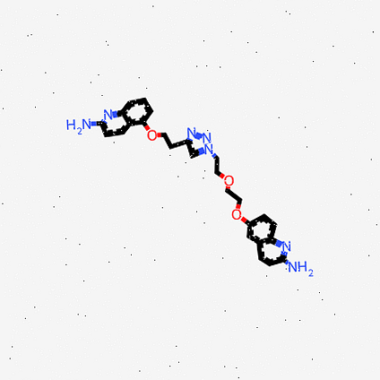 Nc1ccc2cc(OCCOCCn3cc(CCOc4cccc5nc(N)ccc45)nn3)ccc2n1